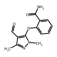 Cc1nn(C)c(Oc2ccccc2C(N)=O)c1C=O